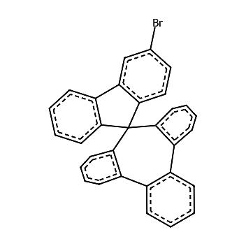 Brc1ccc2c(c1)-c1ccccc1C21c2ccccc2-c2ccccc2-c2ccccc21